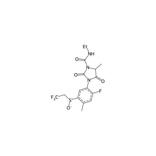 CCNC(=O)N1C(=O)N(c2cc([S+]([O-])CC(F)(F)F)c(C)cc2F)C(=O)C1C